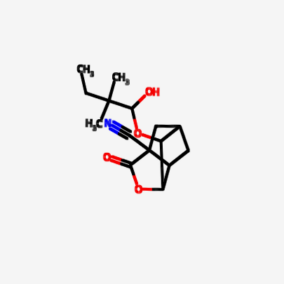 CCC(C)(C)C(O)OC1C2CC3C1OC(=O)C3(C#N)C2